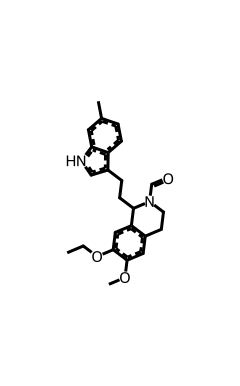 CCOc1cc2c(cc1OC)CCN(C=O)C2CCc1c[nH]c2cc(C)ccc12